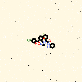 O=C(NC1CCCCC1)C(C1CCCCC1)n1ccnc1-c1c(C(O)c2ccc(Cl)cc2)ccc(F)c1F